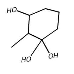 CC1C(O)CCCC1(O)O